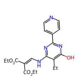 CCOC(=O)C(=CNc1nc(-c2ccncc2)nc(O)c1CC)C(=O)OCC